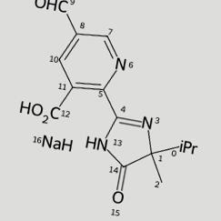 CC(C)C1(C)N=C(c2ncc(C=O)cc2C(=O)O)NC1=O.[NaH]